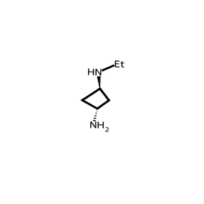 CCN[C@H]1C[C@H](N)C1